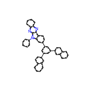 c1ccc(-n2c3cc(-c4cc(-c5ccc6ccccc6c5)cc(-c5ccc6ccccc6c5)c4)ccc3c3nc4ccccc4nc32)cc1